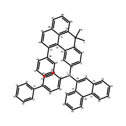 CC1(C)c2ccc(N(c3ccc(-c4ccccc4)cc3)c3cc4ccccc4c4ccccc34)cc2-c2c(-c3ccccc3)ccc3cccc1c23